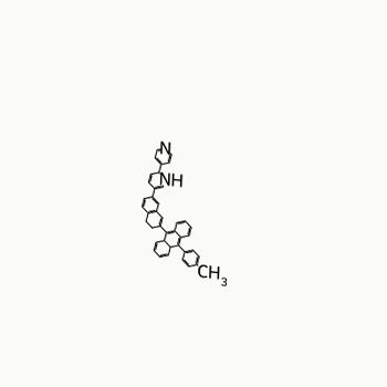 Cc1ccc(C2=c3ccccc3=C(C3=Cc4cc(C5=CNC(c6ccncc6)C=C5)ccc4CC3)C3C=CC=CC23)cc1